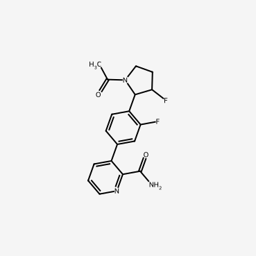 CC(=O)N1CCC(F)C1c1ccc(-c2cccnc2C(N)=O)cc1F